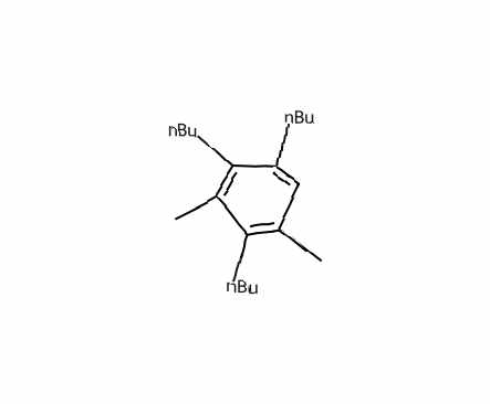 CCCCc1cc(C)c(CCCC)c(C)c1CCCC